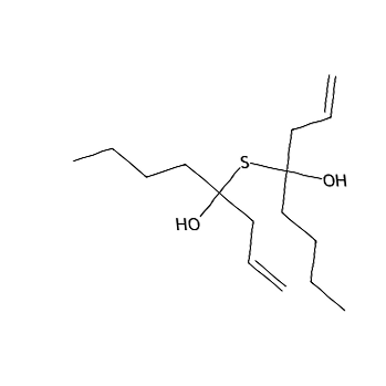 C=CCC(O)(CCCC)SC(O)(CC=C)CCCC